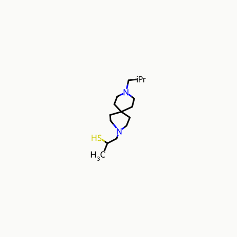 CC(C)CN1CCC2(CC1)CCN(CC(C)S)CC2